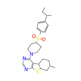 CCC(C)c1ccc(S(=O)(=O)C2CCN(c3ncnc4c3C3CCC(C)CC3S4)CC2)cc1